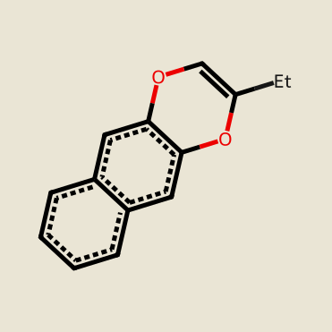 [CH2]CC1=COc2cc3ccccc3cc2O1